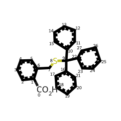 O=C(O)c1ccccc1CSC(c1ccccc1)(c1ccccc1)c1ccccc1